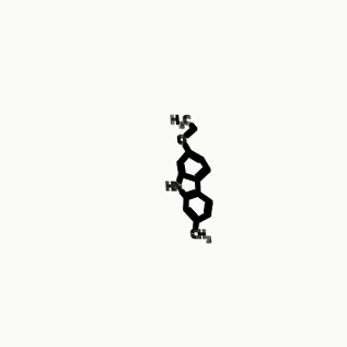 CCOc1ccc2c(c1)[nH]c1cc(C)ccc12